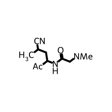 CNCC(=O)NC(CC(C)C#N)C(C)=O